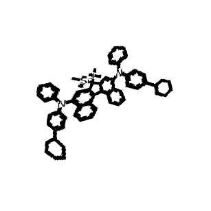 C[Si](C)(C)C1([Si](C)(C)C)c2cc(N(c3ccccc3)c3ccc(C4CCCCC4)cc3)c3ccccc3c2-c2c1cc(N(c1ccccc1)c1ccc(C3CCCCC3)cc1)c1ccccc21